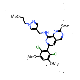 COCCn1cc(CNc2nc(-c3c(Cl)c(OC)cc(OC)c3Cl)cc3cnc(SC)nc23)cn1